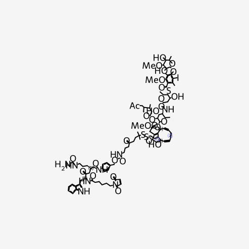 COC(=O)CC1=C2/C(=C\CSSC(C)(C)CCC(=O)CCCNC(=O)OCc3ccc(NC(=O)[C@H](CCCNC(N)=O)CC(=O)[C@H](Cc4c[nH]c5ccccc45)NC(=O)CCCCCN4C(=O)C=CC4=O)cc3)[C@](O)(C#C/C=C\C#C[C@@H]2OC2OC(C)C(NOC3CC(O)C(SC(=O)c4c(C)c(I)c(OC5OC(C)C(O)C(OC)C5O)c(C)c4OC)C(C)O3)C(O)C2OC2CC(C)C(CC(C)=O)CO2)CC1=O